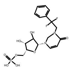 O=C1C=CN([C@@H]2O[C@H](COP(=O)(O)O)[C@H](O)C2O)CN1CC(F)(F)c1ccccc1